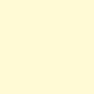 Fc1[c]cccc1CC1CCC1